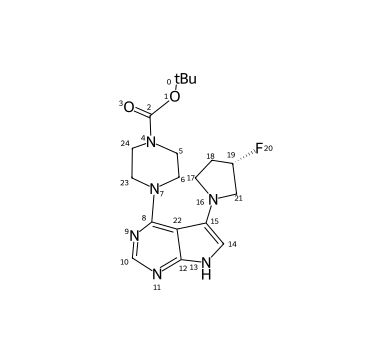 CC(C)(C)OC(=O)N1CCN(c2ncnc3[nH]cc(N4CC[C@H](F)C4)c23)CC1